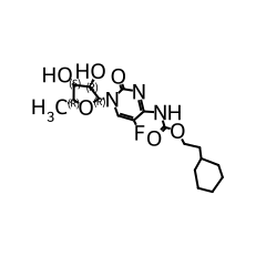 C[C@H]1O[C@@H](n2cc(F)c(NC(=O)OCCC3CCCCC3)nc2=O)[C@H](O)[C@@H]1O